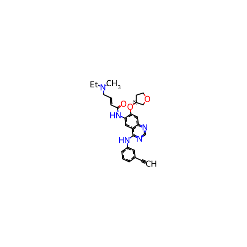 C#Cc1cccc(Nc2ncnc3cc(O[C@H]4CCOC4)c(NC(=O)C=CCN(C)CC)cc23)c1